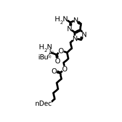 CCCCCCCCCCCCCCCC(=O)OCCC(CCn1cnc2cnc(N)nc21)OC(=O)[C@@H](N)[C@@H](C)CC